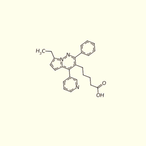 CCc1ccc2c(-c3cccnc3)c(CCCCC(=O)O)c(-c3ccccc3)nn12